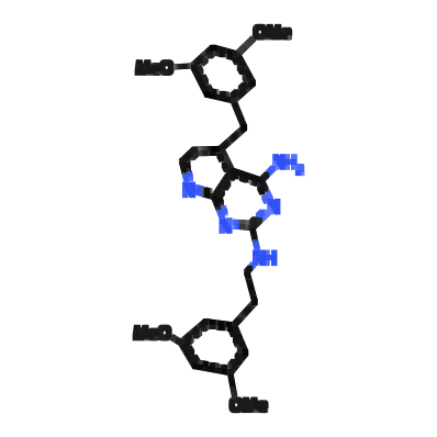 COc1cc(CCNc2nc(N)c3c(Cc4cc(OC)cc(OC)c4)ccnc3n2)cc(OC)c1